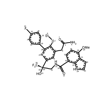 CCOc1c(CC(N)=O)cc([C@@](O)(CNC(=O)c2ccc(OC)c3cc[nH]c23)C(F)(F)F)nc1-c1ccc(F)cc1